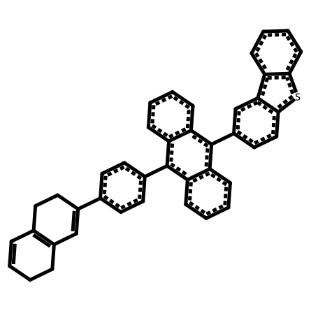 C1=CC2=C(C=C(c3ccc(-c4c5ccccc5c(-c5ccc6sc7ccccc7c6c5)c5ccccc45)cc3)CC2)CC1